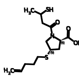 C=CCCCS[C@H]1C[C@@H](C(=O)O)N(C(=O)CC(C)S)C1